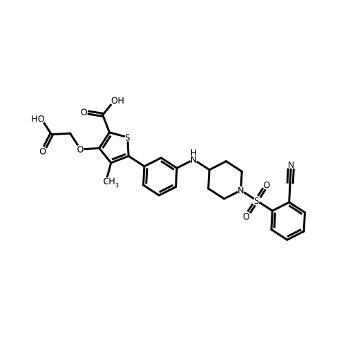 Cc1c(-c2cccc(NC3CCN(S(=O)(=O)c4ccccc4C#N)CC3)c2)sc(C(=O)O)c1OCC(=O)O